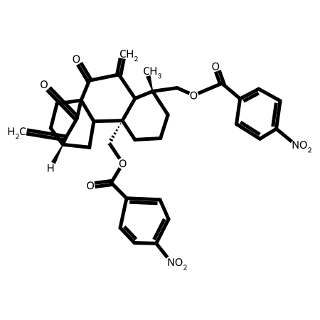 C=C1C(=O)C23CC[C@@H](CC2[C@]2(COC(=O)c4ccc([N+](=O)[O-])cc4)CCC[C@@](C)(COC(=O)c4ccc([N+](=O)[O-])cc4)C12)C(=C)C3=O